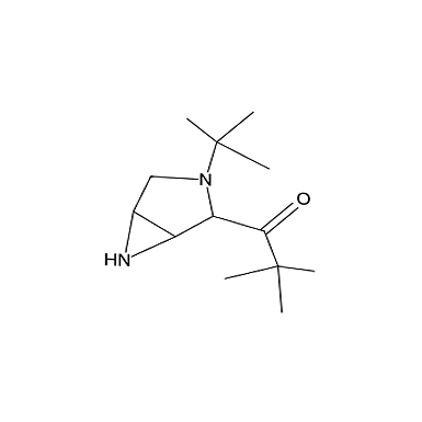 CC(C)(C)C(=O)C1C2NC2CN1C(C)(C)C